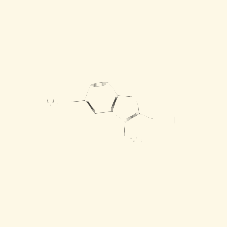 COc1ccc2oc(C(=O)O)c(OC)c2c1